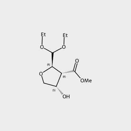 CCOC(OCC)[C@@H]1OC[C@@H](O)[C@H]1C(=O)OC